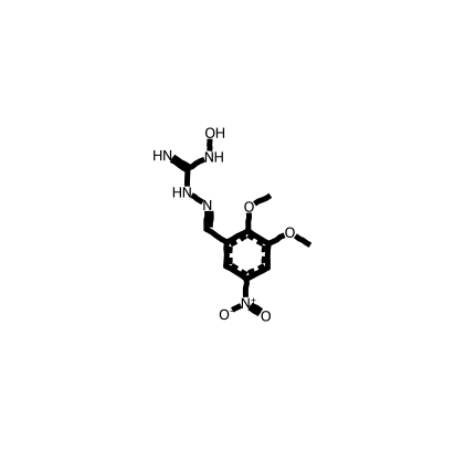 COc1cc([N+](=O)[O-])cc(C=NNC(=N)NO)c1OC